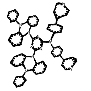 c1ccc(N2c3ccccc3N(c3nc(N(c4ccc(-c5ccncc5)cc4)c4ccc(-c5ccncc5)cc4)nc(N4c5ccccc5N(c5ccccc5)c5ccccc54)n3)c3ccccc32)cc1